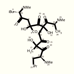 CCC(C)[C@H](NC)C(=O)CC(O)(C(=O)O)C(=O)C(O)(CC(=O)C(C)(O)C(=O)[C@H](CC(C)C)NC)C(=O)[C@H](C)NC